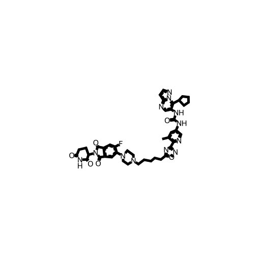 Cc1cc(NC(=O)Nc2cnc3ccnn3c2C2CCCC2)cnc1-c1noc(CCCCCN2CCN(c3cc4c(cc3F)C(=O)N(C3CCC(=O)NC3=O)C4=O)CC2)n1